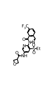 CCS(=O)(=O)c1cc(NC(=O)C2COC2)cnc1-n1ncc2ccc(C(F)(F)F)cc2c1=O